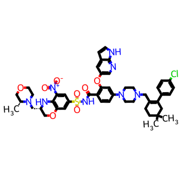 C[C@@H]1COCCN1C[C@H]1COc2cc(S(=O)(=O)NC(=O)c3ccc(N4CCN(CC5=C(c6ccc(Cl)cc6)CC(C)(C)CC5)CC4)cc3Oc3cnc4[nH]ccc4c3)cc([N+](=O)[O-])c2N1